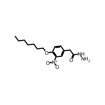 CCCCCCCOc1ccc(CC(=O)NN)cc1[N+](=O)[O-]